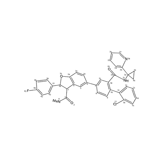 CNC(=O)C1c2cc(-c3ccc(-c4ccccc4Cl)c(C(=O)NC4(c5ccccn5)CC4)c3)ccc2OC1c1ccc(F)cc1